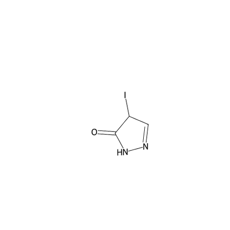 O=C1NN=CC1I